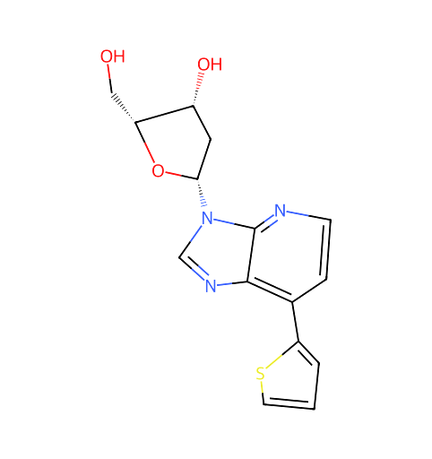 OC[C@H]1O[C@@H](n2cnc3c(-c4cccs4)ccnc32)C[C@H]1O